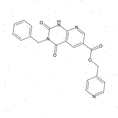 O=C(OCc1ccncc1)c1cnc2[nH]c(=O)n(Cc3ccccc3)c(=O)c2c1